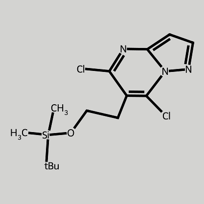 CC(C)(C)[Si](C)(C)OCCc1c(Cl)nc2ccnn2c1Cl